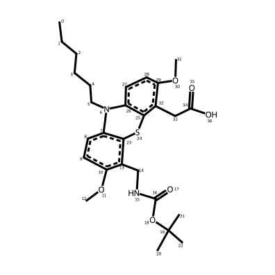 CCCCCCN1c2ccc(OC)c(CNC(=O)OC(C)(C)C)c2Sc2c1ccc(OC)c2CC(=O)O